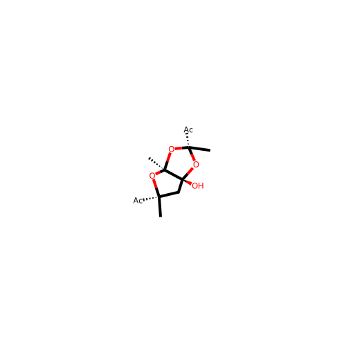 CC(=O)[C@@]1(C)O[C@]2(C)O[C@@](C)(C(C)=O)C[C@@]2(O)O1